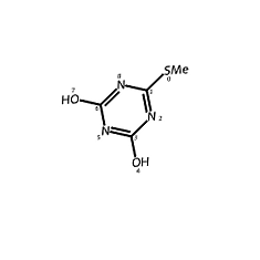 CSc1nc(O)nc(O)n1